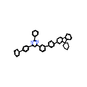 c1ccc(-c2ccc(-c3cc(-c4cccc(-c5ccc(-c6ccc7c(c6)C6(CCCCC6)c6ccccc6-7)cc5)c4)nc(-c4ccccc4)n3)cc2)cc1